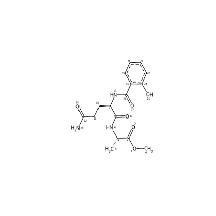 COC(=O)[C@H](C)NC(=O)[C@@H](CCC(N)=O)NC(=O)c1ccccc1O